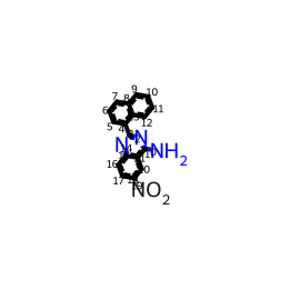 Nc1nc(-c2cccc3ccccc23)nc2ccc([N+](=O)[O-])cc12